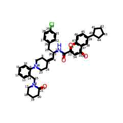 O=C(N[C@@H](C=C1CCN(c2ccccc2CN2CCCCC2=O)CC1)Cc1ccc(Cl)cc1)c1cc(=O)c2cc(C3CCCC3)ccc2o1